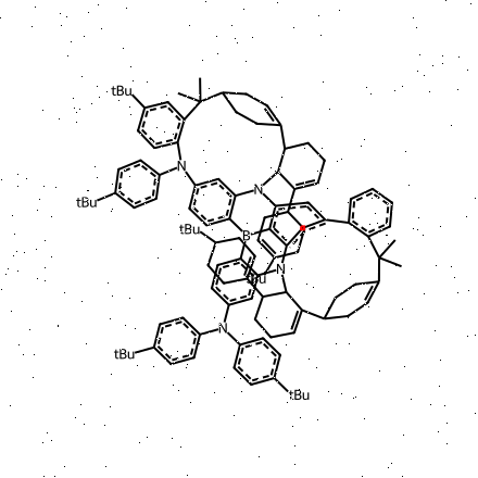 CC(C)(C)C1=CCC(C2=CCCC3C4=CCC(CC4)C(C)(C)c4cc(C(C)(C)C)ccc4N(c4ccc(C(C)(C)C)cc4)c4ccc5c(c4)N(c4cc6cc7c4B5c4ccc(N(c5ccc(C(C)(C)C)cc5)c5ccc(C(C)(C)C)cc5)cc4N7C4C(=CCCC4C4=CCC(C(C)(C)C)CC4)C4CC=C(CC4)C(C)(C)c4ccccc4-6)C23)CC1